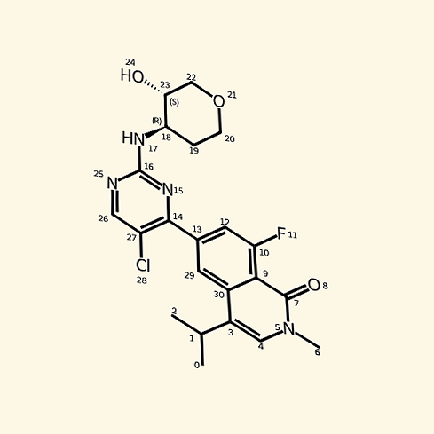 CC(C)c1cn(C)c(=O)c2c(F)cc(-c3nc(N[C@@H]4CCOC[C@H]4O)ncc3Cl)cc12